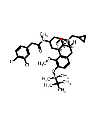 COc1c(O[Si](C)(C)C(C)(C)C)ccc2c1[C@]13CCN(CC4CC4)[C@H](C2)[C@]1(O)CCC(N(C)C(=O)Cc1ccc(Cl)c(Cl)c1)C3